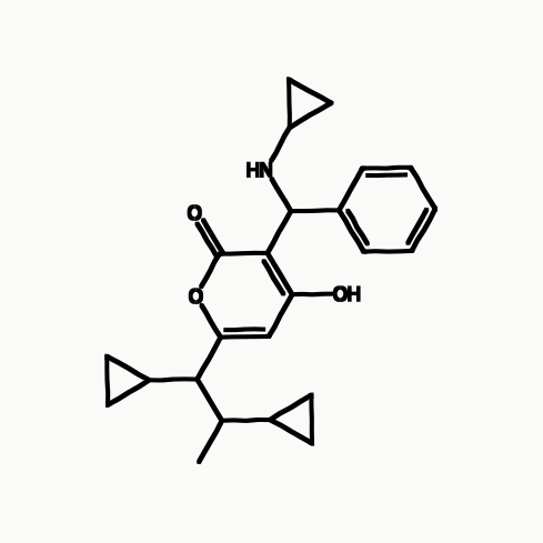 CC(C1CC1)C(c1cc(O)c(C(NC2CC2)c2ccccc2)c(=O)o1)C1CC1